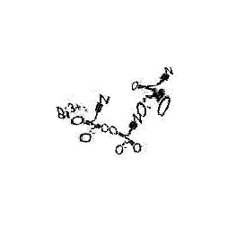 N#CS(=O)(=O)[O-].N#CS(=O)(=O)[O-].N#CS(=O)(=O)[O-].[Bi+3]